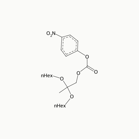 CCCCCCOC(C)(COC(=O)Oc1ccc([N+](=O)[O-])cc1)OCCCCCC